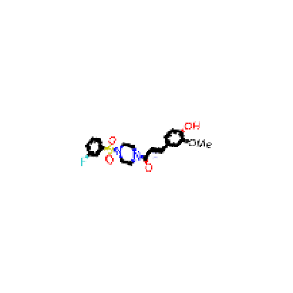 COc1cc(/C=C/C(=O)N2CCN(S(=O)(=O)c3cccc(F)c3)CC2)ccc1O